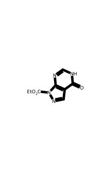 CCOC(=O)n1ncc2c(=O)[nH]cnc21